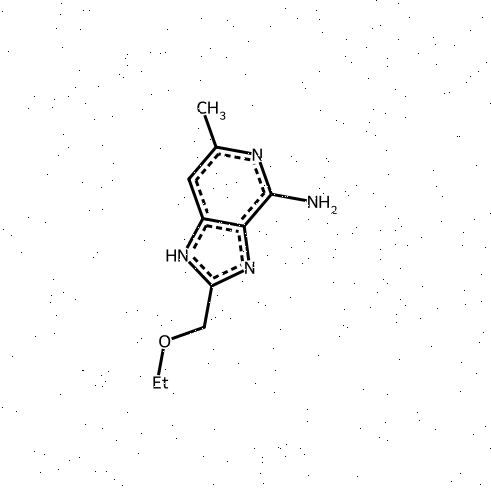 CCOCc1nc2c(N)nc(C)cc2[nH]1